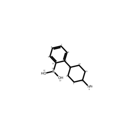 CCCC1CCC(c2ccccc2B(O)O)CC1